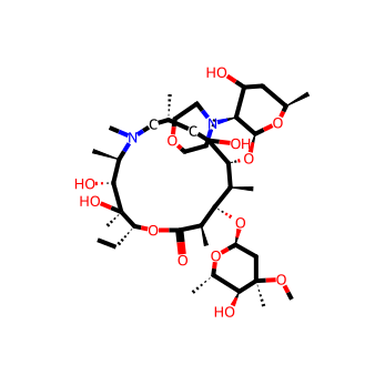 CC[C@H]1OC(=O)[C@H](C)[C@@H](O[C@H]2C[C@@](C)(OC)[C@@H](O)[C@H](C)O2)[C@H](C)[C@@H](O[C@@H]2O[C@H](C)CC(O)[C@@H]2N2CCOCC2)[C@](C)(O)C[C@@H](C)CN(C)[C@H](C)[C@@H](O)[C@]1(C)O